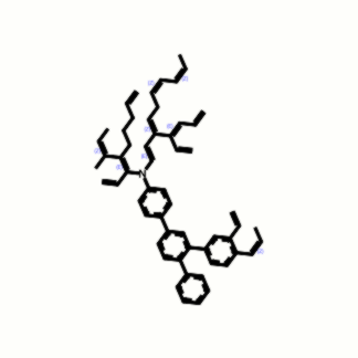 C=C/C=C(C=C)/C(=C\C/C=C\C=C/C)/C=C/N(/C(C=C)=C(CCCC=C)/C(C)=C\C)c1ccc(-c2ccc(-c3ccccc3)c(-c3ccc(/C=C\C)c(C=C)c3)c2)cc1